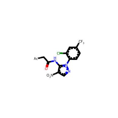 CC(=O)CC(=O)Nc1c([N+](=O)[O-])cnn1-c1ccc(C(F)(F)F)cc1Cl